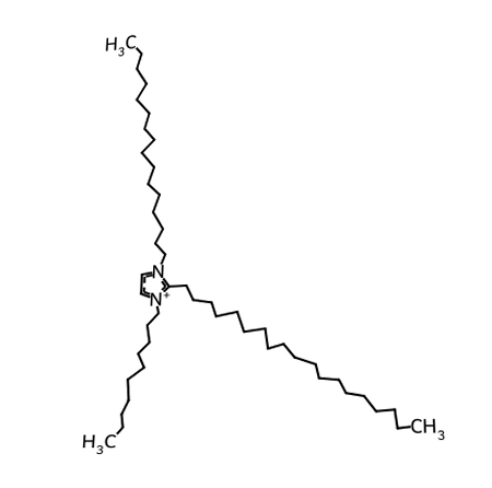 CCCCCCCCCCCCCCCCCCCc1n(CCCCCCCCCCCCCCCC)cc[n+]1CCCCCCCCCC